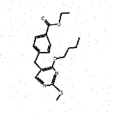 CCCCOc1nc(SC)ncc1Cc1ccc(C(=O)OCC)cc1